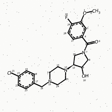 COc1cc(C(=O)N2CC(O)[C@@H](N3CCN(Cc4ccc(Cl)cc4)CC3)C2)ccc1F